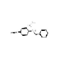 Cl.[N-]=[N+]=C1C=CC(NCc2ccccc2)C=C1.[Zn]